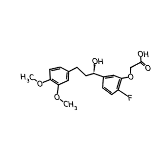 COc1ccc(CC[C@@H](O)c2ccc(F)c(OCC(=O)O)c2)cc1OC